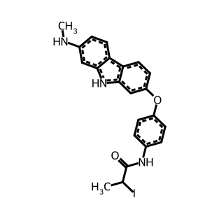 CNc1ccc2c(c1)[nH]c1cc(Oc3ccc(NC(=O)C(C)I)cc3)ccc12